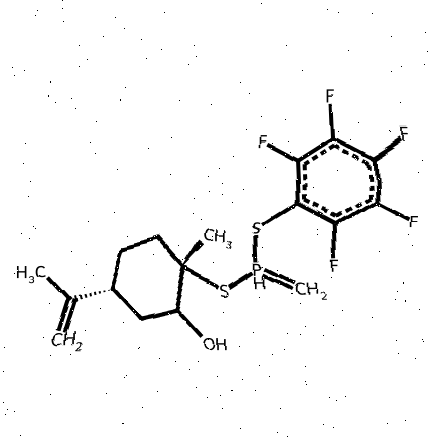 C=C(C)[C@@H]1CC[C@](C)(S[PH](=C)Sc2c(F)c(F)c(F)c(F)c2F)C(O)C1